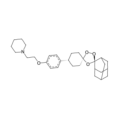 c1cc([C@H]2CC[C@]3(CC2)OO[C@]2(O3)C3CC4CC(C3)CC2C4)ccc1OCCN1CCCCC1